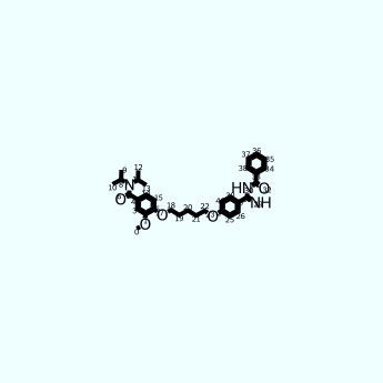 COc1cc(C(=O)N(C(C)C)C(C)C)ccc1OCCCCCOc1ccc(C(=N)NC(=O)c2ccccc2)cc1